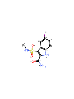 CC(C)NS(=O)(=O)c1c(C(N)=O)[nH]c2ccc(I)cc12